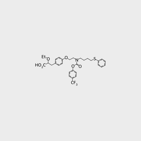 CCOC(Cc1ccc(OCCN(CCCCSc2ccccc2)C(=O)Oc2ccc(C(F)(F)F)cc2)cc1)C(=O)O